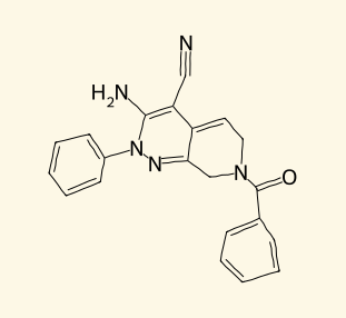 N#CC1=C(N)N(c2ccccc2)N=C2CN(C(=O)c3ccccc3)CC=C21